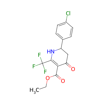 CCOC(=O)C1=C(C(F)(F)F)NC(c2ccc(Cl)cc2)CC1=O